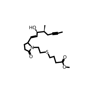 CC#CC[C@H](C)[C@H](O)C=CC1CCC(=O)N1CCSCCCC(=O)OC